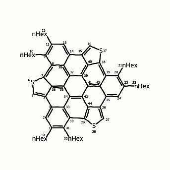 CCCCCCc1cc2c3csc4c5c(CCCCCC)c(CCCCCC)cc6c7csc8c9c(CCCCCC)c(CCCCCC)cc%10c%11csc%12c(c1CCCCCC)c2c1c(c34)c(c65)c(c78)c(c%109)c1c%11%12